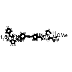 COC(=O)N[C@H](C(=O)N1CCC[C@H]1c1ncc(-c2ccc(C#Cc3ccc4nc([C@@H]5CCCN5C(=O)[C@@H](c5ccccc5)N(C)C)[nH]c4c3)cc2)[nH]1)C(C)C